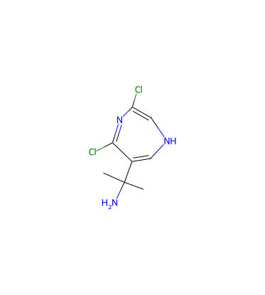 CC(C)(N)C1=CNC=C(Cl)N=C1Cl